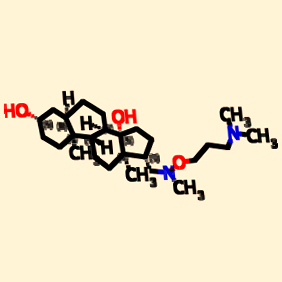 CN(C)CCCON(C)C[C@H]1CC[C@]2(O)[C@@H]3CC[C@@H]4C[C@@H](O)CC[C@]4(C)[C@H]3CC[C@]12C